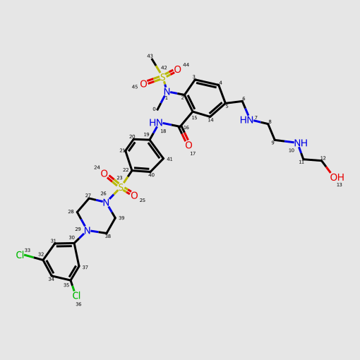 CN(c1ccc(CNCCNCCO)cc1C(=O)Nc1ccc(S(=O)(=O)N2CCN(c3cc(Cl)cc(Cl)c3)CC2)cc1)S(C)(=O)=O